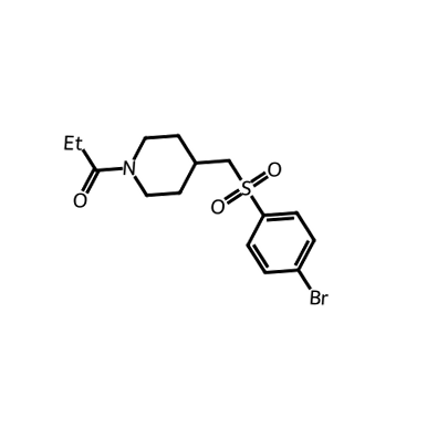 CCC(=O)N1CCC(CS(=O)(=O)c2ccc(Br)cc2)CC1